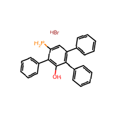 Br.Oc1c(-c2ccccc2)c(P)cc(-c2ccccc2)c1-c1ccccc1